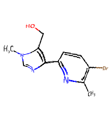 Cc1nc(-c2ncn(C)c2CO)ccc1Br